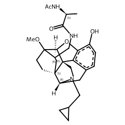 COC12CC[C@@]3(C[C@@H]1CNC(=O)[C@H](C)NC(C)=O)[C@H]1Cc4ccc(O)c5c4[C@@]3(CCN1CC1CC1)C2O5